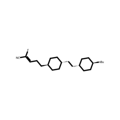 CCCC[C@H]1CC[C@H](CC[C@H]2CC[C@H](CCC=C(F)C#N)CC2)CC1